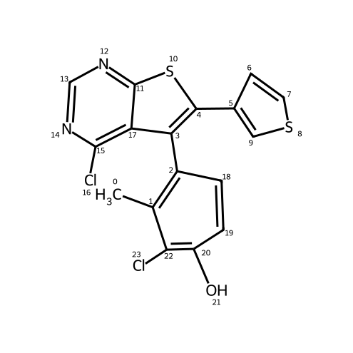 Cc1c(-c2c(-c3ccsc3)sc3ncnc(Cl)c23)ccc(O)c1Cl